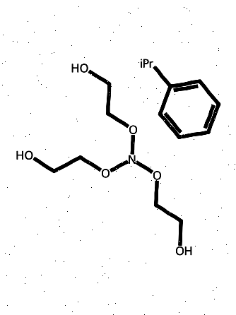 CC(C)c1ccccc1.OCCON(OCCO)OCCO